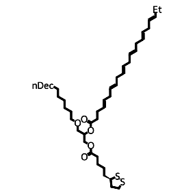 CCC=CCC=CCC=CCC=CCC=CCC=CCCC(=O)OC(COCCCCCCCCCCCCCCCC)COC(=O)CCCC[C@@H]1CCSS1